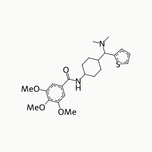 COc1cc(C(=O)NC2CCC(C(c3cccs3)N(C)C)CC2)cc(OC)c1OC